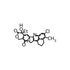 CC[C@@]1(O)C(=O)OCc2c1cc1n(c2=O)Cc2c-1nc1cc(Cl)c(C)c3c1c2CCC3